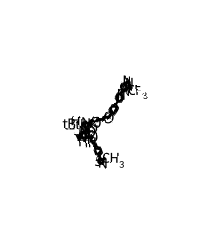 Cc1ncsc1-c1ccc(CNC(=O)[C@@H]2CC3(CC3)CN2C(=O)[C@@H](NC(=O)COCCCOc2ccc(C3CCN(C4=Nn5c(nnc5C(F)(F)F)CC4)CC3)cc2)C(C)(C)C)cc1